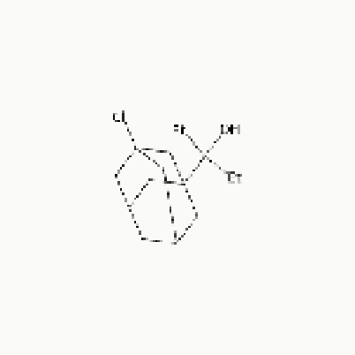 CCC(O)(CC)C12CC3CC(CC(Cl)(C3)C1)C2